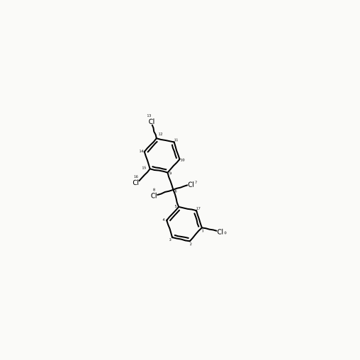 Clc1cccc(C(Cl)(Cl)c2ccc(Cl)cc2Cl)c1